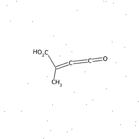 CC(=C=C=O)C(=O)O